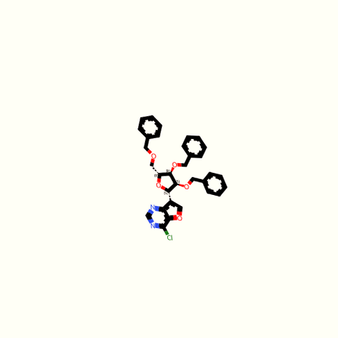 Clc1ncnc2c([C@@H]3O[C@H](COCc4ccccc4)[C@@H](OCc4ccccc4)[C@H]3OCc3ccccc3)coc12